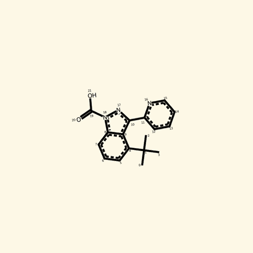 CC(C)(C)c1cccc2c1c(-c1ccccn1)nn2C(=O)O